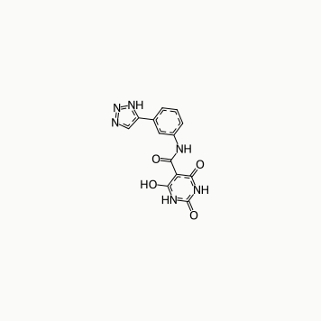 O=C(Nc1cccc(-c2cnn[nH]2)c1)c1c(O)[nH]c(=O)[nH]c1=O